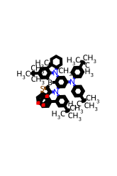 CC(C)(C)c1ccc(N(c2ccc(C(C)(C)C)cc2)c2cc3c4c(c2)N2c5c(cc(C(C)(C)C)cc5C5(C)CCCCC25C)B4c2sc4ccccc4c2N3c2ccc(C(C)(C)C)cc2-c2ccccc2)cc1